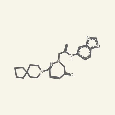 C=C(CN1CC(=O)C=CC(N2CCC3(CCCC3)CC2)=N1)Nc1ccc2ocnc2c1